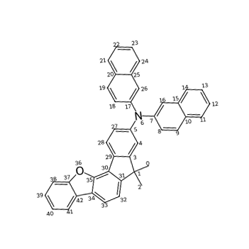 CC1(C)c2cc(N(c3ccc4ccccc4c3)c3ccc4ccccc4c3)ccc2-c2c1ccc1c2oc2ccccc21